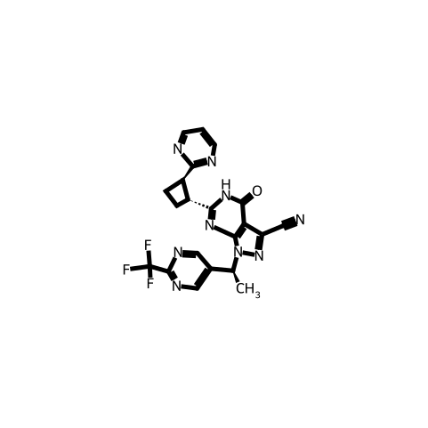 C[C@@H](c1cnc(C(F)(F)F)nc1)n1nc(C#N)c2c(=O)[nH]c([C@@H]3CC[C@H]3c3ncccn3)nc21